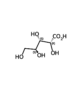 O=C(O)[C@H](O)[C@@H](O)[C@@H](O)CO